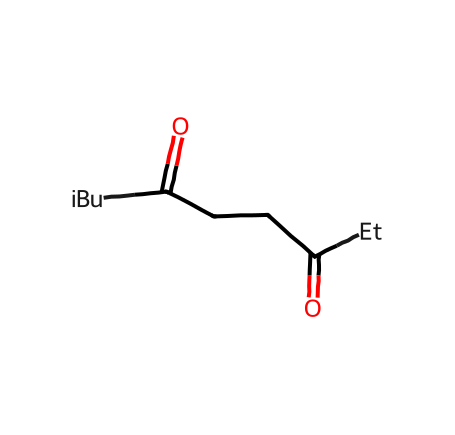 CCC(=O)CCC(=O)C(C)CC